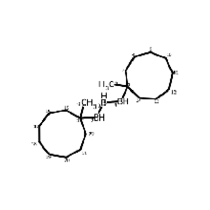 CC1(BBBC2(C)CCCCCCCC2)CCCCCCCC1